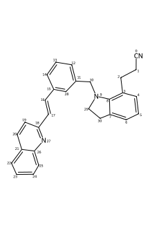 N#CCCc1cccc2c1N(Cc1cccc(/C=C/c3ccc4ccccc4n3)c1)CC2